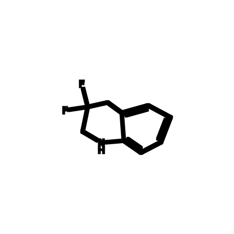 FC1(F)CNc2ccccc2C1